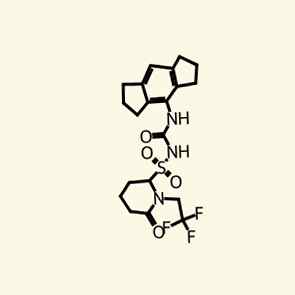 O=C(Nc1c2c(cc3c1CCC3)CCC2)NS(=O)(=O)C1CCCC(=O)N1CC(F)(F)F